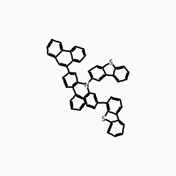 c1ccc(-c2ccc(-c3cc4ccccc4c4ccccc34)cc2N(c2cccc(-c3cccc4c3sc3ccccc34)c2)c2ccc3sc4ccccc4c3c2)cc1